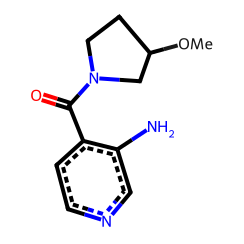 COC1CCN(C(=O)c2ccncc2N)C1